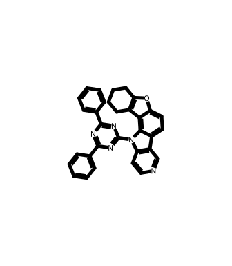 c1ccc(-c2nc(-c3ccccc3)nc(-n3c4ccncc4c4ccc5oc6c(c5c43)CCCC6)n2)cc1